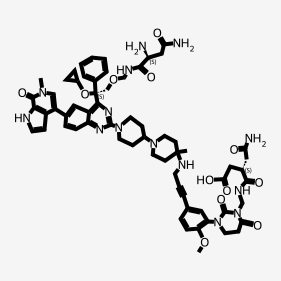 COc1ccc(C#CCNC2(C)CCN(C3CCN(c4nc([C@@](COCNC(=O)[C@@H](N)CC(N)=O)(OC5CC5)c5ccccc5)c5cc(-c6cn(C)c(=O)c7[nH]ccc67)ccc5n4)CC3)CC2)cc1N1CCC(=O)N(CNC(=O)[C@@H](CC(N)=O)CC(=O)O)C1=O